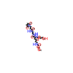 COCOC(=O)NCCCCC(NC(=O)OCCO)C(=O)NCCNC(=O)CCN1C(=O)C=CC1=O